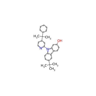 CC(C)(C)c1ccc2c(c1)c1ccc(O)cc1n2-c1cc(C(C)(C)c2ccccc2)ccn1